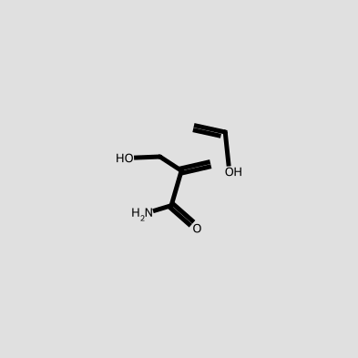 C=C(CO)C(N)=O.C=CO